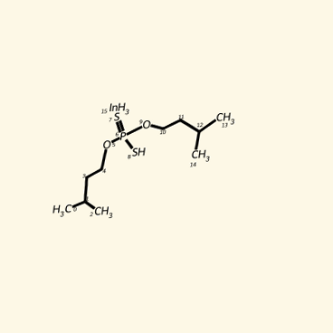 CC(C)CCOP(=S)(S)OCCC(C)C.[InH3]